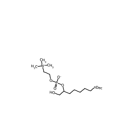 CCCCCCCCCCCCCCCC(CO)OP(=O)([O-])OCC[N+](C)(C)C